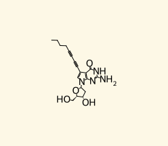 CCCCC#CC#Cc1cn([C@H]2C[C@H](O)[C@@H](CO)O2)c2nc(N)[nH]c(=O)c12